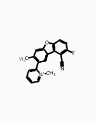 Cc1cc2oc3ccc(F)c(C#N)c3c2cc1-c1cccc[n+]1C